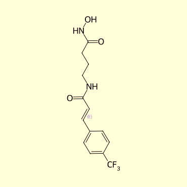 O=C(/C=C/c1ccc(C(F)(F)F)cc1)NCCCC(=O)NO